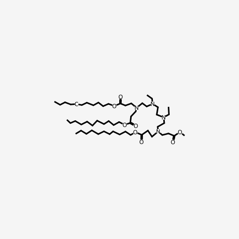 CCCCCCCCCCCOC(=O)CCN(CCC(=O)OC)CCN(CC)CCN(CC)CCN(CCC(=O)OCCCCCCCCCCC)CCC(=O)OCCCCCCCCCCC